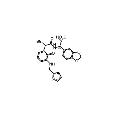 CCCCC(C(=O)N[C@@H](CC(=O)O)c1ccc2c(c1)OCO2)n1cccc(NCc2cccs2)c1=O